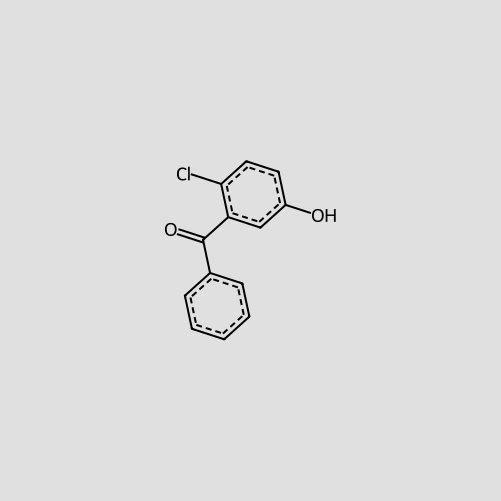 O=C(c1ccccc1)c1cc(O)ccc1Cl